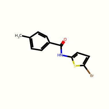 Cc1ccc(C(=O)Nc2ccc(Br)s2)cc1